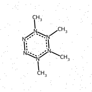 Cn1nnn(C)n(C)n1C